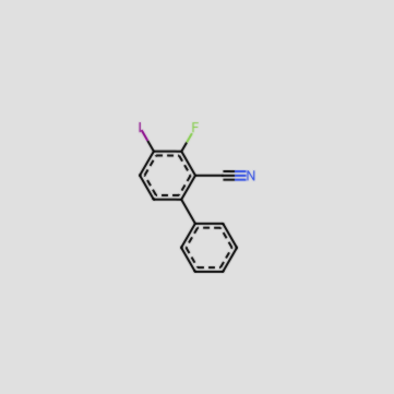 N#Cc1c(-c2ccccc2)ccc(I)c1F